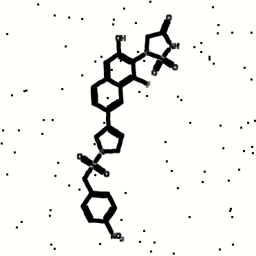 O=C1CN(c2c(O)cc3ccc(C4=CCN(S(=O)(=O)Cc5ccc([N+](=O)[O-])cc5)C4)cc3c2F)S(=O)(=O)N1